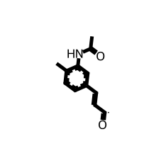 CC(=O)Nc1cc(/C=C/[C]=O)ccc1C